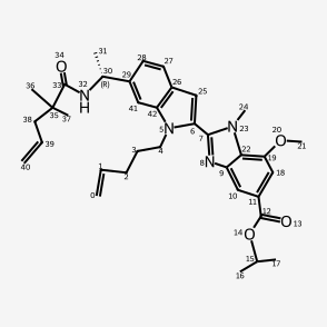 C=CCCCn1c(-c2nc3cc(C(=O)OC(C)C)cc(OC)c3n2C)cc2ccc([C@@H](C)NC(=O)C(C)(C)CC=C)cc21